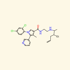 C=CCC(CC)C(C)NCCNC(=O)c1cn(-c2ccc(Cl)cc2Cl)c(-c2cccnc2)c1C